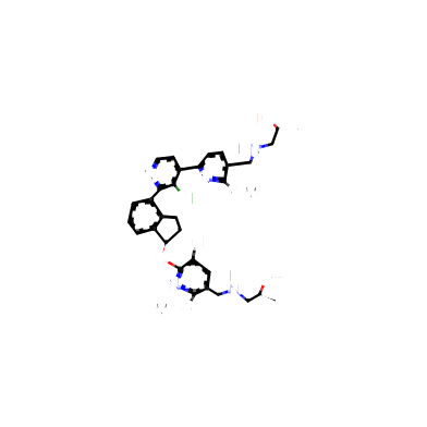 COc1nc(-c2ccnc(-c3cccc4c3CC[C@H]4Oc3nc(OC)c(CNC[C@H](C)O)cc3C(F)(F)F)c2Cl)ccc1CNC[C@@H](C)O